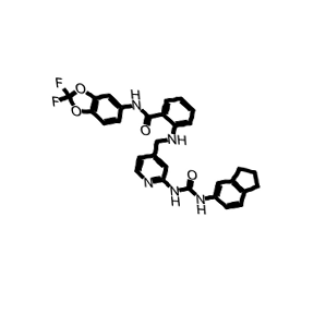 O=C(Nc1ccc2c(c1)CCC2)Nc1cc(CNc2ccccc2C(=O)Nc2ccc3c(c2)OC(F)(F)O3)ccn1